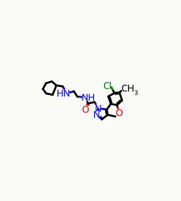 Cc1cc2c(cc1Cl)-c1c(cnn1CC(=O)NCCNCC1CCCCC1)CO2